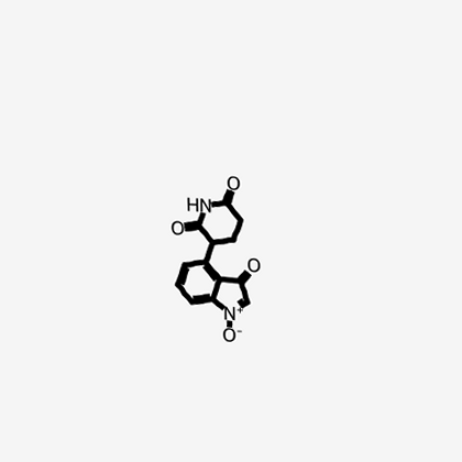 O=C1CCC(c2cccc3c2C(=O)C=[N+]3[O-])C(=O)N1